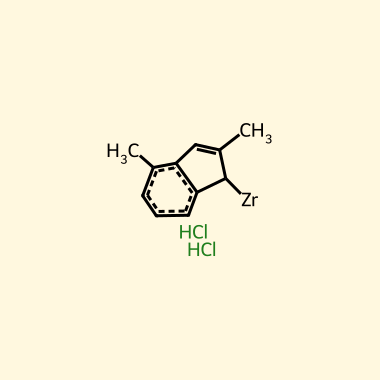 CC1=Cc2c(C)cccc2[CH]1[Zr].Cl.Cl